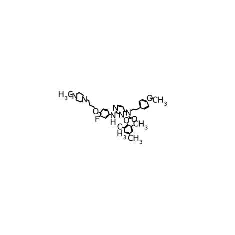 COc1ccc(CCN(C(=O)Oc2c(C)cc(C)cc2C)c2ccnc(Nc3ccc(OCCCN4CCN(C)CC4)c(F)c3)n2)cc1